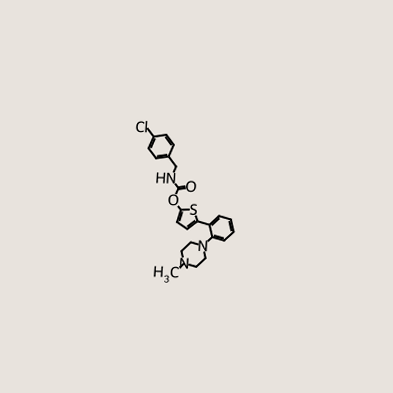 CN1CCN(c2ccccc2-c2ccc(OC(=O)NCc3ccc(Cl)cc3)s2)CC1